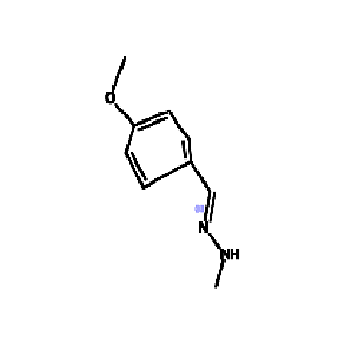 CN/N=C/c1ccc(OC)cc1